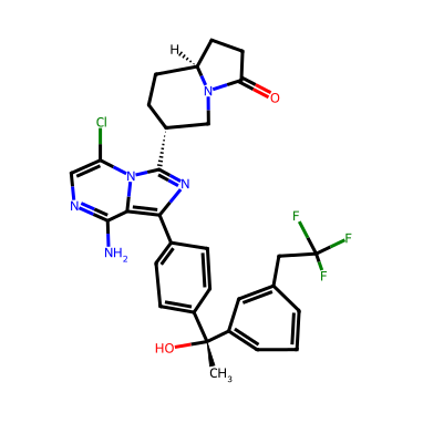 C[C@@](O)(c1ccc(-c2nc([C@@H]3CC[C@H]4CCC(=O)N4C3)n3c(Cl)cnc(N)c23)cc1)c1cccc(CC(F)(F)F)c1